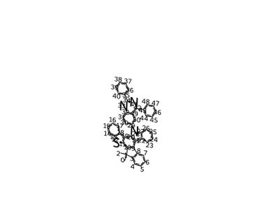 CC1(C)c2ccccc2-c2c1c1sc3ccccc3c1c1c2c2ccccc2n1-c1ccc2nc(-c3ccccc3)nc(-c3ccccc3)c2c1